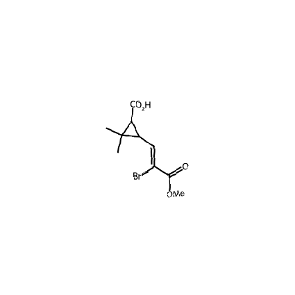 COC(=O)C(Br)=CC1C(C(=O)O)C1(C)C